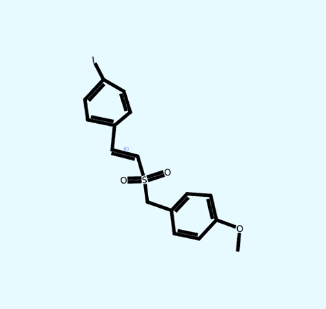 COc1ccc(CS(=O)(=O)/C=C/c2ccc(I)cc2)cc1